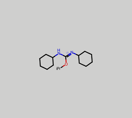 CC(C)O/C(=N\C1CCCCC1)NC1CCCCC1